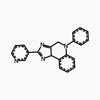 c1ccc(N2CC3=NC(c4cccnc4)=NC3c3ccccc32)cc1